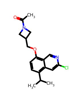 CC(=O)N1CC(COc2ccc(C(C)C)c3cc(Cl)ncc23)C1